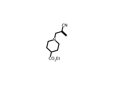 C=C(C#N)CN1CCC(C(=O)OCC)CC1